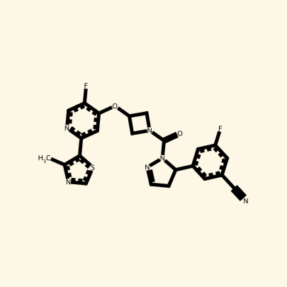 Cc1ncsc1-c1cc(OC2CN(C(=O)N3N=CCC3c3cc(F)cc(C#N)c3)C2)c(F)cn1